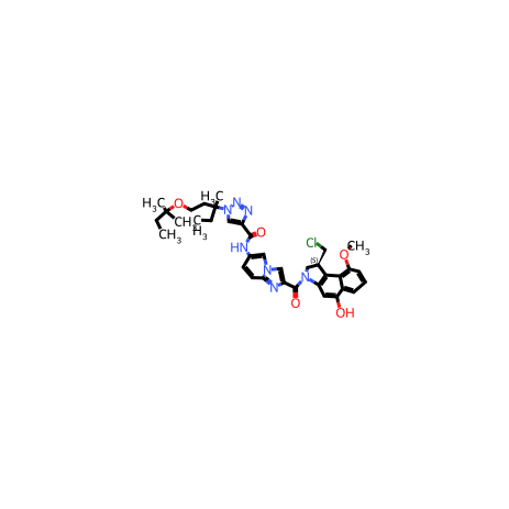 CCC(C)(C)OCCC(C)(CC)n1cc(C(=O)Nc2ccc3nc(C(=O)N4C[C@@H](CCl)c5c4cc(O)c4cccc(OC)c54)cn3c2)nn1